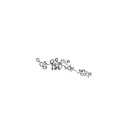 Cc1cc(SCC2=C(C(=O)O)N3C(=O)[C@H](NC(=O)CSc4cc(Cl)ccc4Cl)[C@H]3SC2)cc(C)[n+]1CCCC[C@H](N)C(=O)O